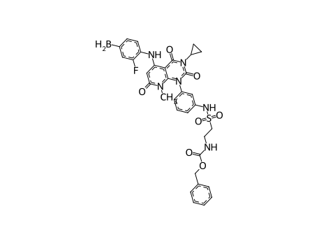 Bc1ccc(Nc2cc(=O)n(C)c3c2c(=O)n(C2CC2)c(=O)n3-c2cccc(NS(=O)(=O)CCNC(=O)OCc3ccccc3)c2)c(F)c1